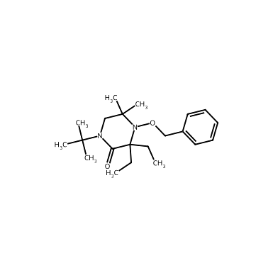 CCC1(CC)C(=O)N(C(C)(C)C)CC(C)(C)N1OCc1ccccc1